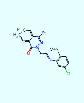 C/C=c1/c(CC)nn(C/C=N/c2cc(Cl)ccc2SC)c(=O)/c1=C/C